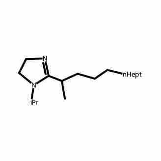 CCCCCCCCCCC(C)C1=NCCN1C(C)C